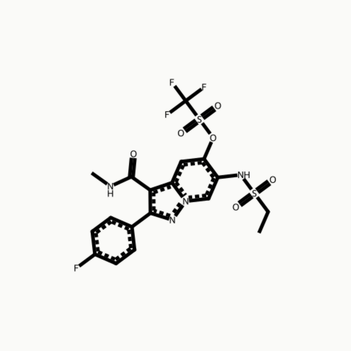 CCS(=O)(=O)Nc1cn2nc(-c3ccc(F)cc3)c(C(=O)NC)c2cc1OS(=O)(=O)C(F)(F)F